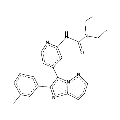 CCN(CC)C(=O)Nc1cc(-c2c(-c3cccc(C)c3)nc3cccnn23)ccn1